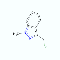 Cn1nc(CBr)c2ccccc21